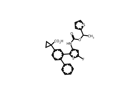 CC(OC(=O)Nc1cc(F)sc1-c1cc(C2(C(=O)O)CC2)ccc1-c1ccccc1)c1cccs1